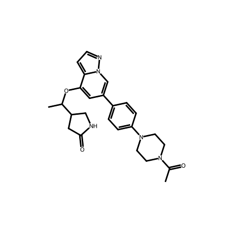 CC(=O)N1CCN(c2ccc(-c3cc(OC(C)C4CNC(=O)C4)c4ccnn4c3)cc2)CC1